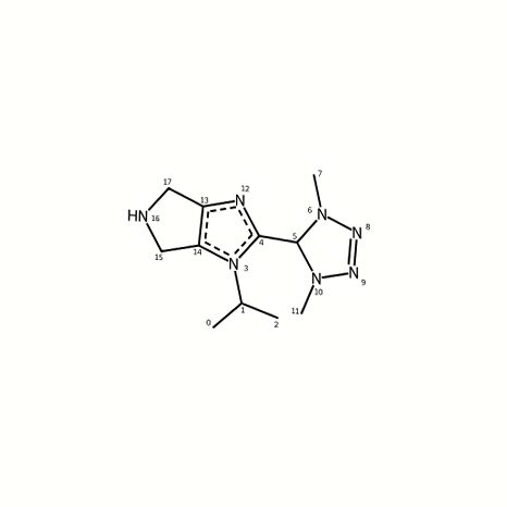 CC(C)n1c(C2N(C)N=NN2C)nc2c1CNC2